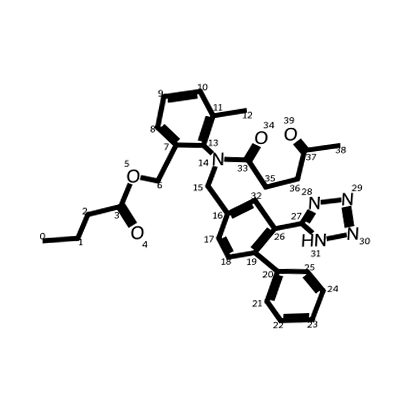 CCCC(=O)OCc1cccc(C)c1N(Cc1ccc(-c2ccccc2)c(-c2nnn[nH]2)c1)C(=O)CCC(C)=O